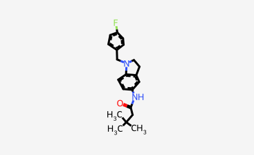 CC(C)(C)CC(=O)Nc1ccc2c(c1)CCN2Cc1ccc(F)cc1